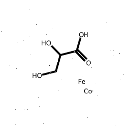 O=C(O)C(O)CO.[Co].[Fe]